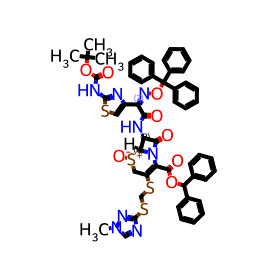 Cn1cnc(SCSC2=C(C(=O)OC(c3ccccc3)c3ccccc3)N3C(=O)[C@@H](NC(=O)/C(=N\OC(c4ccccc4)(c4ccccc4)c4ccccc4)c4csc(NC(=O)OC(C)(C)C)n4)[C@H]3[S+]([O-])C2)n1